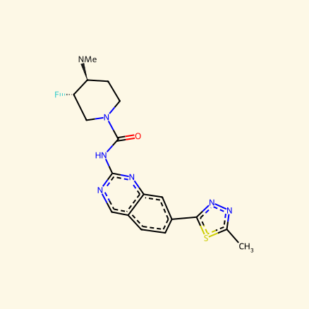 CN[C@H]1CCN(C(=O)Nc2ncc3ccc(-c4nnc(C)s4)cc3n2)C[C@@H]1F